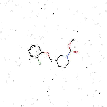 CC(C)(C)OC(=O)N1CCCC(COc2ccccc2Cl)C1